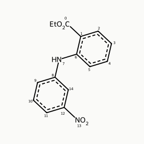 CCOC(=O)c1ccccc1Nc1cccc([N+](=O)[O-])c1